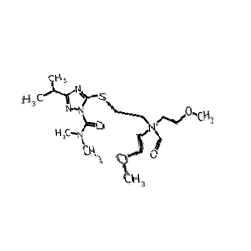 COCC[N+](C=O)(CCOC)CCSc1nc(C(C)C)nn1C(=O)N(C)C